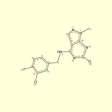 Cn1ncc2c(NCc3ccc(F)c(Cl)c3)nc(Cl)nc21